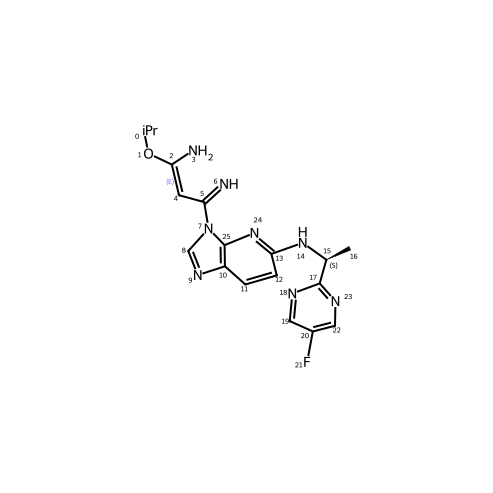 CC(C)O/C(N)=C/C(=N)n1cnc2ccc(N[C@@H](C)c3ncc(F)cn3)nc21